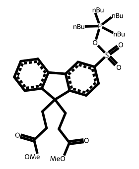 CCCCP(CCCC)(CCCC)(CCCC)OS(=O)(=O)c1ccc2c(c1)-c1ccccc1C2(CCC(=O)OC)CCC(=O)OC